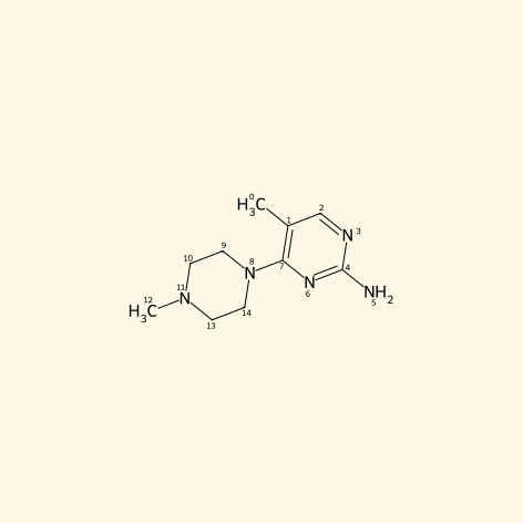 Cc1cnc(N)nc1N1CCN(C)CC1